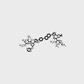 COC(=O)NC(C(=O)N1CC(Oc2cnccn2)CC1c1ncc(-c2ccc(-c3ccc4cc(-c5cnc(C6CC7(CC7)CN6C(=O)C(NC(=O)OC)C(C)C)[nH]5)ccc4c3)cc2)[nH]1)C(C)C